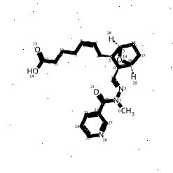 CN(N=C[C@H]1[C@@H](C/C=C\CCCC(=O)O)[C@H]2CC[C@@H]1O2)C(=O)c1cccnc1